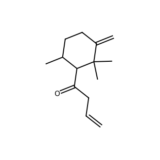 C=CCC(=O)C1C(C)CCC(=C)C1(C)C